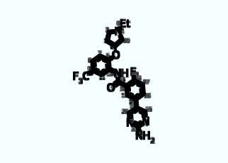 CCN1CC[C@@H](Oc2ccc(C(F)(F)F)cc2NC(=O)c2cc(-c3cnc(N)nc3)ccc2F)C1